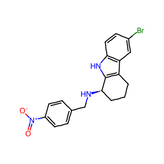 O=[N+]([O-])c1ccc(CN[C@@H]2CCCc3c2[nH]c2ccc(Br)cc32)cc1